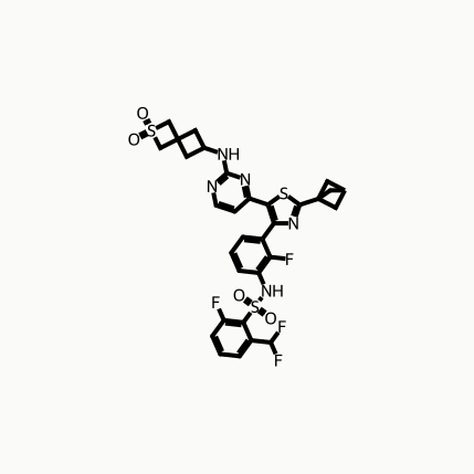 O=S1(=O)CC2(CC(Nc3nccc(-c4sc(C56CC(C5)C6)nc4-c4cccc(NS(=O)(=O)c5c(F)cccc5C(F)F)c4F)n3)C2)C1